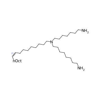 CCCCCCCC/C=C\CCCCCCCCN(CCCCCCCN)CCCCCCCCN